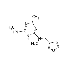 CNC1=NC(C)N=C(N(C)Cc2ccoc2)N1